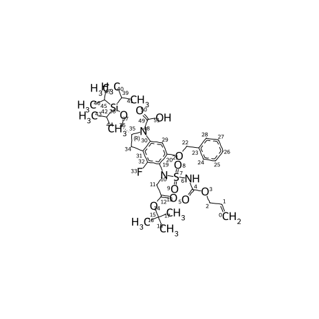 C=CCOC(=O)NS(=O)(=O)N(CC(=O)OC(C)(C)C)c1c(OCc2ccccc2)cc2c(c1F)C[C@H](CO[Si](C(C)C)(C(C)C)C(C)C)N2C(=O)O